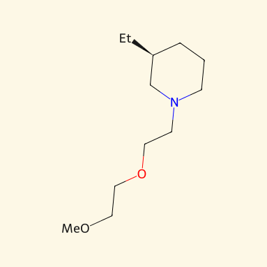 CC[C@H]1CCCN(CCOCCOC)C1